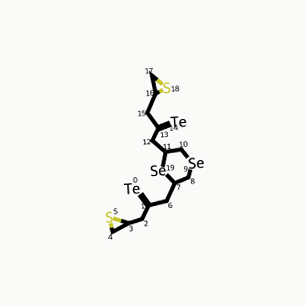 [Te]=C(CC1CS1)CC1C[Se]CC(CC(=[Te])CC2CS2)[Se]1